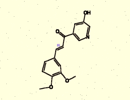 COc1ccc(/C=C/C(=O)c2cncc(O)c2)cc1OC